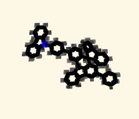 c1ccc(-c2cc3c4c(c2)C2(c5ccc(-c6ccc(-n7c8ccccc8c8ccccc87)cc6)cc5B4c4ccccc4-3)c3ccccc3-c3ccccc32)cc1